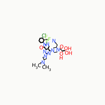 CCN(CC)C1CN(c2nc(N3CCN(C(=O)C(O)=C(O)O)C(CC#N)C3)c3cnn(-c4cccc(Cl)c4C(F)(F)F)c(=O)c3n2)C1